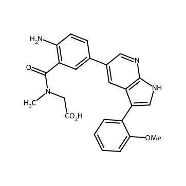 COc1ccccc1-c1c[nH]c2ncc(-c3ccc(N)c(C(=O)N(C)CC(=O)O)c3)cc12